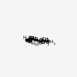 COC(=O)CCC(=O)C(C)C(=O)C(C)C(=O)SCCNC(=O)CCNC(=O)[C@@H]1OP(=O)(Oc2ccccc2)OCC1(C)C